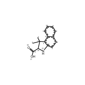 CC1(C)c2c(ccc3ccccc23)NC1C(=O)O